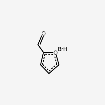 Br.O=Cc1ccco1